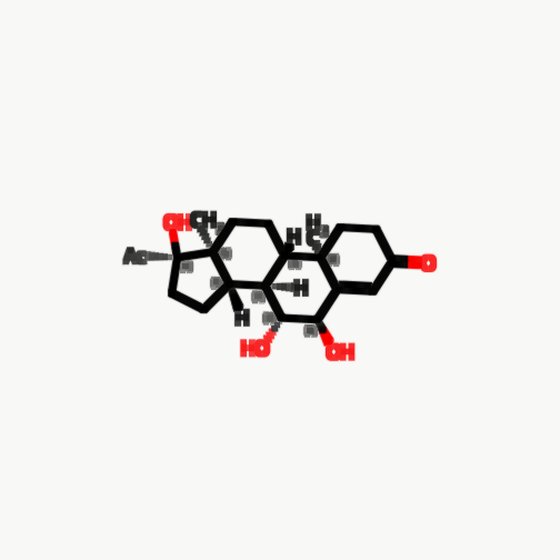 CC(=O)[C@@]1(O)CC[C@H]2[C@@H]3[C@@H](O)[C@H](O)C4=CC(=O)CC[C@]4(C)[C@H]3CC[C@@]21C